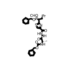 CC(C)CC(c1nc(C(=O)NNC(=O)[C@H](C)NC(=O)OCc2ccccc2)cs1)N(C=O)OCc1ccccc1